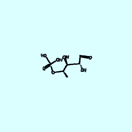 C[C@@H](OP(=O)(O)O)[C@@H](O)[C@@H](O)C=O